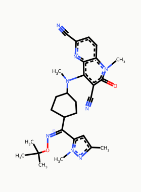 Cc1cc(/C(=N\OC(C)(C)C)C2CCC(N(C)c3c(C#N)c(=O)n(C)c4ccc(C#N)nc34)CC2)n(C)n1